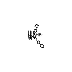 Br.C(=Cc1ccc(-c2ccccc2)cc1)C(C=Cc1ccc(-c2ccccc2)cc1)=NNC1=NCCN1